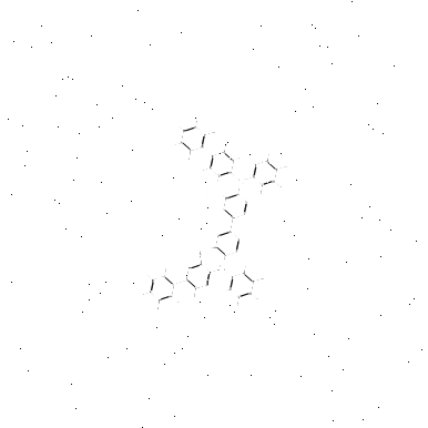 Cc1cc(-c2ccc(N(c3c(F)c(F)c(F)c(F)c3F)c3c(F)c(F)c(-c4c(F)c(F)c(F)c(F)c4F)c(F)c3F)c(C)c2)ccc1N(c1c(F)c(F)c(F)c(F)c1F)c1c(F)c(F)c(-c2c(F)c(F)c(F)c(F)c2F)c(F)c1F